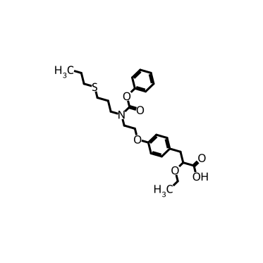 CCCSCCCN(CCOc1ccc(CC(OCC)C(=O)O)cc1)C(=O)Oc1ccccc1